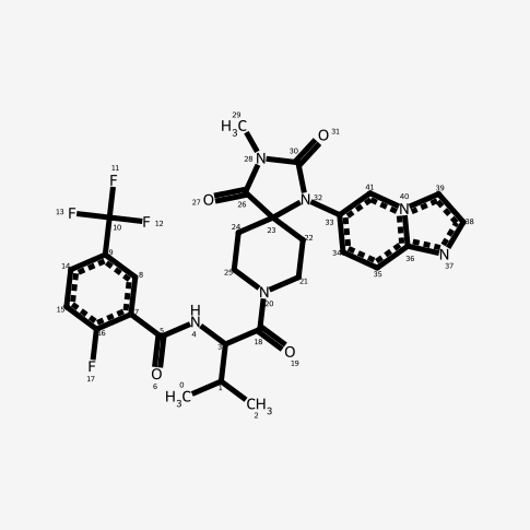 CC(C)C(NC(=O)c1cc(C(F)(F)F)ccc1F)C(=O)N1CCC2(CC1)C(=O)N(C)C(=O)N2c1ccc2nccn2c1